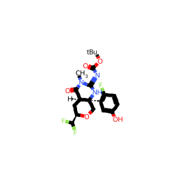 CN1C(=O)[C@@H]2C[C@H](C(F)F)OC[C@]2(c2cc(O)ccc2F)N/C1=N/C(=O)OC(C)(C)C